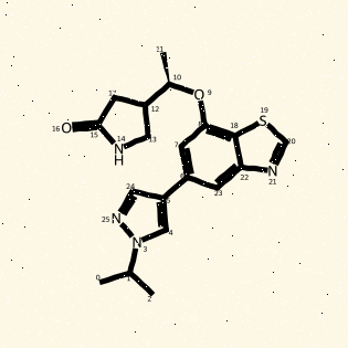 CC(C)n1cc(-c2cc(O[C@H](C)C3CNC(=O)C3)c3scnc3c2)cn1